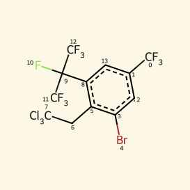 FC(F)(F)c1[c]c(Br)c(CC(Cl)(Cl)Cl)c(C(F)(C(F)(F)F)C(F)(F)F)c1